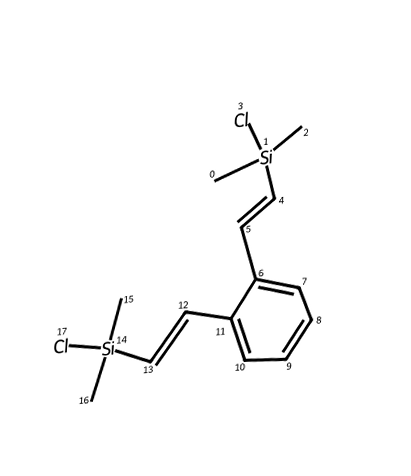 C[Si](C)(Cl)C=Cc1ccccc1C=C[Si](C)(C)Cl